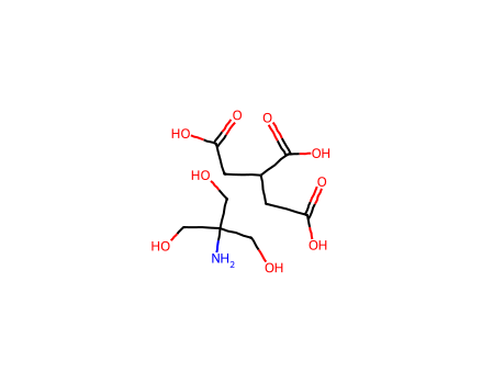 NC(CO)(CO)CO.O=C(O)CC(CC(=O)O)C(=O)O